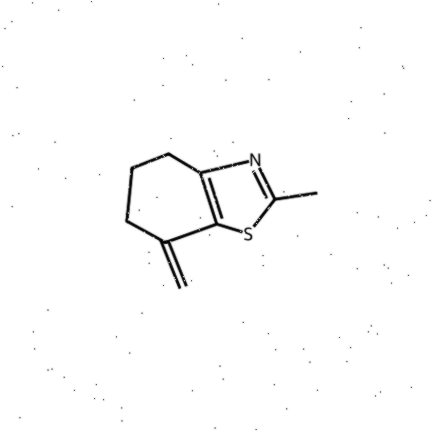 C=C1CCCc2nc(C)sc21